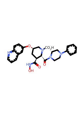 O=C(NO)[C@H]1C[C@H](Oc2ccc3ncccc3c2)CN(C(=O)O)[C@@H]1C(=O)N1CCN(c2ccccc2)CC1